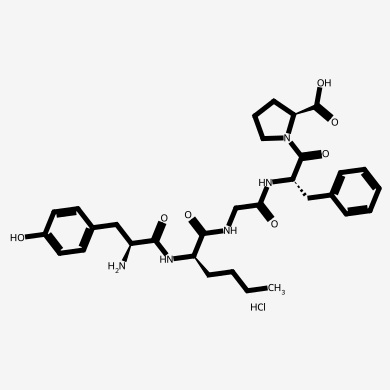 CCCC[C@@H](NC(=O)[C@@H](N)Cc1ccc(O)cc1)C(=O)NCC(=O)N[C@@H](Cc1ccccc1)C(=O)N1CCC[C@H]1C(=O)O.Cl